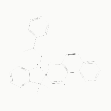 CC(CN1c2ccccc2C(C)(C)C12C=Nc1c(ccc3ccccc13)O2)c1ccccc1